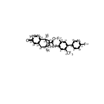 O=C(Nc1cc(C(F)(F)F)c(-c2ccc(F)nc2)cc1F)N1[C@H]2CC[C@@H]1c1n[nH]c(=O)cc1C2